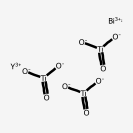 [Bi+3].[O]=[Ti]([O-])[O-].[O]=[Ti]([O-])[O-].[O]=[Ti]([O-])[O-].[Y+3]